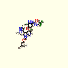 CC(C)n1nccc1-c1cn(COCC[SiH](C)C)c2nccc(Oc3c(F)cc(NC4=NCC(F)(F)CO4)cc3F)c12